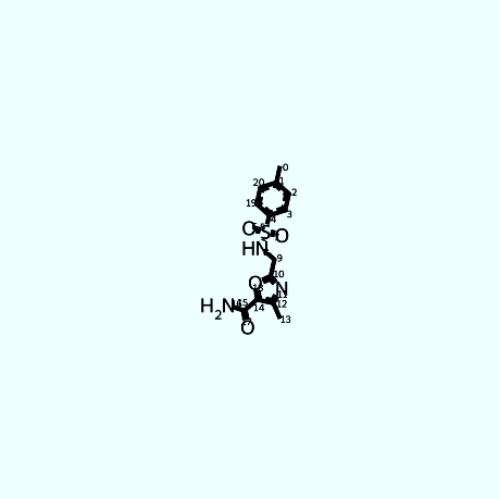 Cc1ccc(S(=O)(=O)NCc2nc(C)c(C(N)=O)o2)cc1